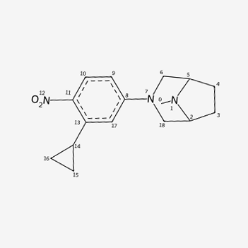 CN1C2CCC1CN(c1ccc([N+](=O)[O-])c(C3CC3)c1)C2